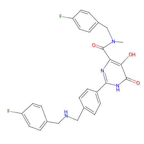 CN(Cc1ccc(F)cc1)C(=O)c1nc(-c2ccc(CNCc3ccc(F)cc3)cc2)[nH]c(=O)c1O